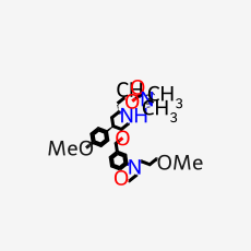 COCCCN1CCOc2ccc(CO[C@H]3CN[C@@H](C[C@H](C)OC(=O)N(C)C)C[C@@H]3c3ccc(OC)cc3)cc21